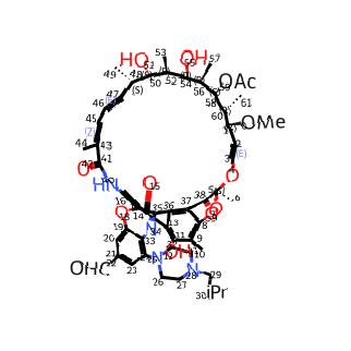 CO[C@H]1/C=C/O[C@@]2(C)Oc3c(C)c(O)c4c(=O)c(c5oc6cc(C=O)cc(N7CCN(CC(C)C)CC7)c6nc-5c4c3C2=O)NC(=O)/C(C)=C\C=C\[C@H](C)[C@H](O)[C@@H](C)[C@@H](O)[C@@H](C)[C@H](OC(C)=O)[C@@H]1C